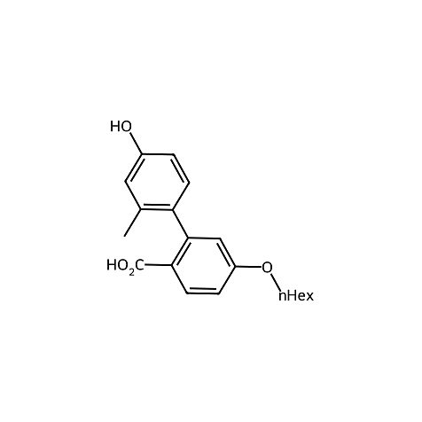 CCCCCCOc1ccc(C(=O)O)c(-c2ccc(O)cc2C)c1